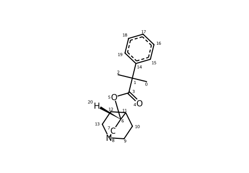 CC(C)(C(=O)O[C@H]1CN2CCC1CC2)c1ccccc1